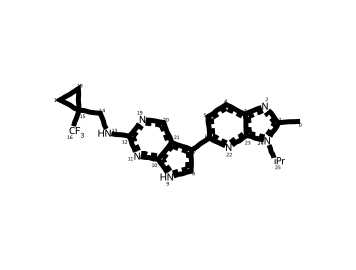 Cc1nc2ccc(-c3c[nH]c4nc(NCC5(C(F)(F)F)CC5)ncc34)nc2n1C(C)C